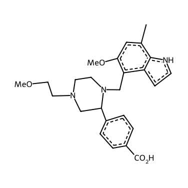 COCCN1CCN(Cc2c(OC)cc(C)c3[nH]ccc23)C(c2ccc(C(=O)O)cc2)C1